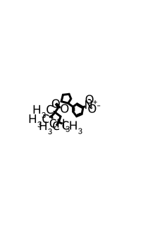 CC(C)CC(C)(C(=O)OC1(c2cccc([N+](=O)[O-])c2)CCCC1)C(C)C